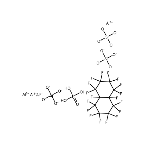 FC1(F)C(F)(F)C(F)(F)C2(F)C(F)(F)C(F)(F)C(F)(F)C(F)(F)C2(F)C1(F)F.O=P(O)(O)O.[Al+3].[Al+3].[Al+3].[Al+3].[O-][Si]([O-])([O-])[O-].[O-][Si]([O-])([O-])[O-].[O-][Si]([O-])([O-])[O-]